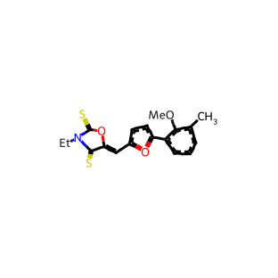 CCN1C(=S)O/C(=C\c2ccc(-c3cccc(C)c3OC)o2)C1=S